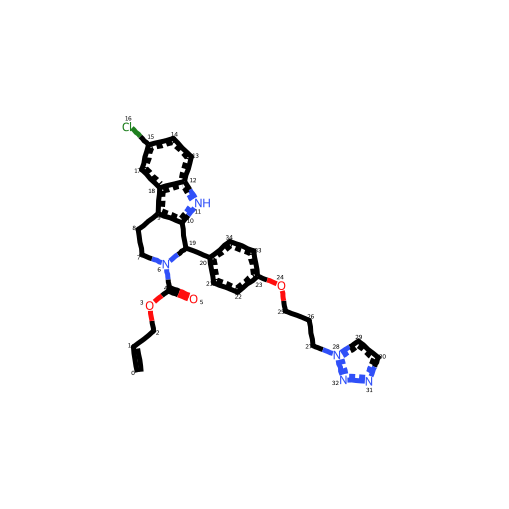 C=CCOC(=O)N1CCc2c([nH]c3ccc(Cl)cc23)C1c1ccc(OCCCn2ccnn2)cc1